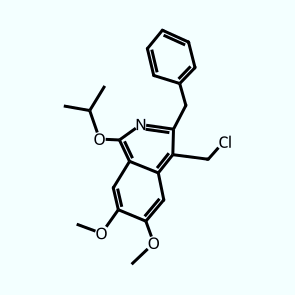 COc1cc2c(OC(C)C)nc(Cc3ccccc3)c(CCl)c2cc1OC